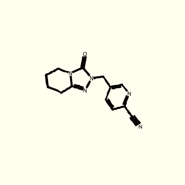 N#Cc1ccc(Cn2nc3n(c2=O)CCCC3)cn1